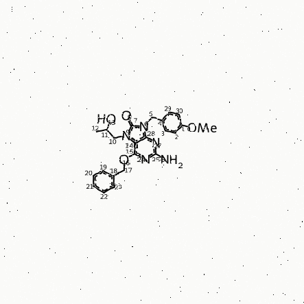 COc1ccc(Cn2c(=O)n(CC(C)O)c3c(OCc4ccccc4)nc(N)nc32)cc1